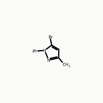 Cc1cc(Br)n(C(C)C)n1